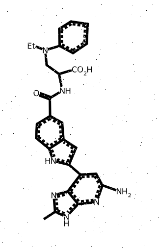 CCN(CC(NC(=O)c1ccc2[nH]c(-c3cc(N)nc4[nH]c(C)nc34)cc2c1)C(=O)O)c1ccccc1